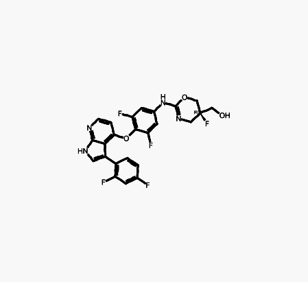 OC[C@]1(F)CN=C(Nc2cc(F)c(Oc3ccnc4[nH]cc(-c5ccc(F)cc5F)c34)c(F)c2)OC1